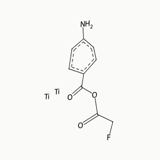 Nc1ccc(C(=O)OC(=O)CF)cc1.[Ti].[Ti]